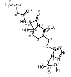 CCOP(=O)(O)Cn1nnnc1SCC1=C(C(=O)O)N2C(=O)[C@@H](NC(=O)CSC(F)(F)F)[C@H]2SC1